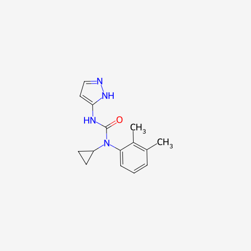 Cc1cccc(N(C(=O)Nc2ccn[nH]2)C2CC2)c1C